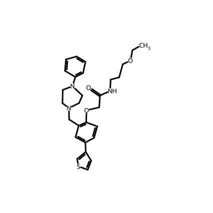 CCOCCCNC(=O)COc1ccc(-c2ccsc2)cc1CN1CCN(c2ccccc2)CC1